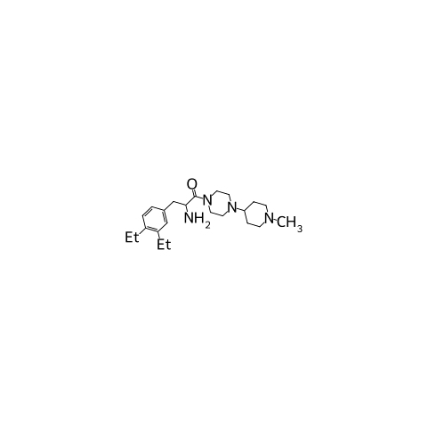 CCc1ccc(CC(N)C(=O)N2CCN(C3CCN(C)CC3)CC2)cc1CC